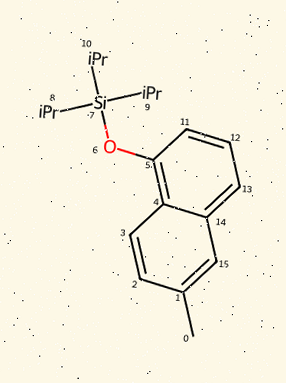 Cc1ccc2c(O[Si](C(C)C)(C(C)C)C(C)C)cccc2c1